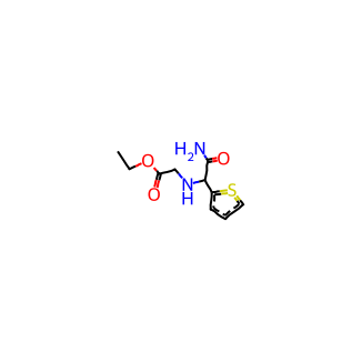 CCOC(=O)CNC(C(N)=O)c1cccs1